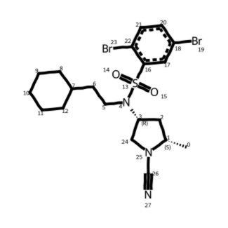 C[C@H]1C[C@@H](N(CCC2CCCCC2)S(=O)(=O)c2cc(Br)ccc2Br)CN1C#N